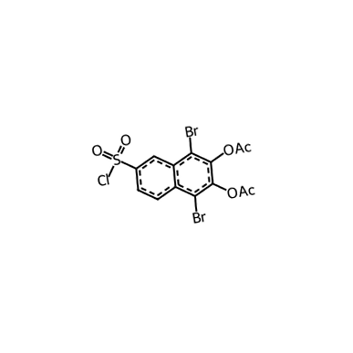 CC(=O)Oc1c(OC(C)=O)c(Br)c2cc(S(=O)(=O)Cl)ccc2c1Br